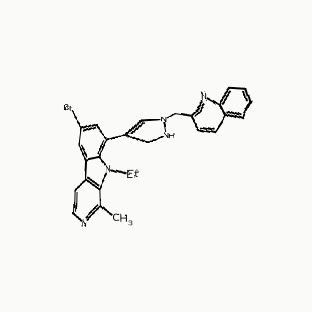 CCn1c2c(C3=CN(Cc4ccc5ccccc5n4)NC3)cc(Br)cc2c2ccnc(C)c21